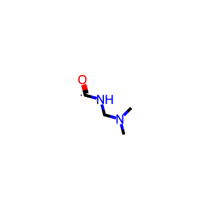 CN(C)CN[C]=O